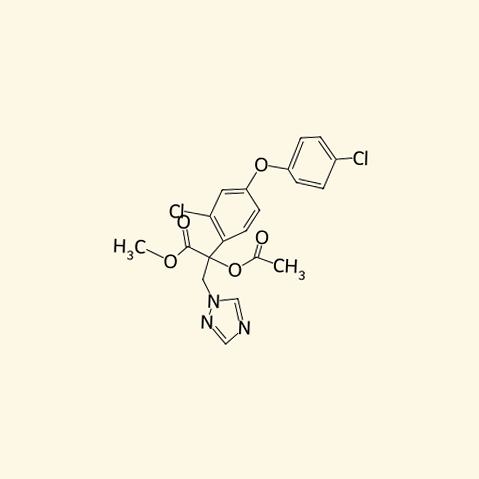 COC(=O)C(Cn1cncn1)(OC(C)=O)c1ccc(Oc2ccc(Cl)cc2)cc1Cl